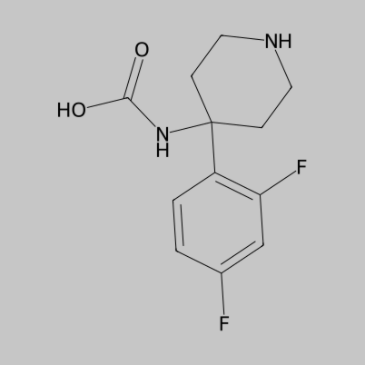 O=C(O)NC1(c2ccc(F)cc2F)CCNCC1